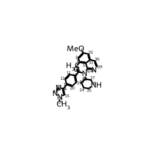 COc1cc(C)c2c(N(C(=O)c3ccc(-c4cn(C)nn4)cc3)[C@@H]3CCCNC3)nccc2c1